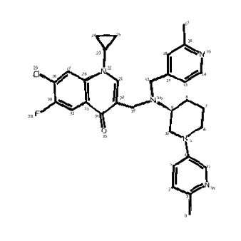 Cc1ccc(N2CCC[C@H](N(Cc3ccnc(C)c3)Cc3cn(C4CC4)c4cc(Cl)c(F)cc4c3=O)C2)cn1